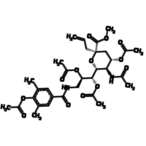 C=CC[C@]1(C(=O)OC)C[C@H](OC(C)=O)[C@@H](NC(C)=O)[C@H]([C@H](OC(C)=O)[C@@H](CNC(=O)c2cc(C)c(OC(C)=O)c(C)c2)OC(C)=O)O1